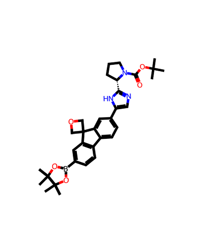 CC(C)(C)OC(=O)N1CCC[C@H]1c1ncc(-c2ccc3c(c2)C2(COC2)c2cc(B4OC(C)(C)C(C)(C)O4)ccc2-3)[nH]1